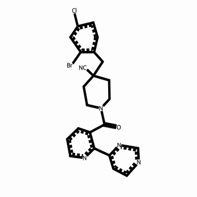 N#CC1(Cc2ccc(Cl)cc2Br)CCN(C(=O)c2cccnc2-c2ccncn2)CC1